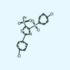 CC(C)S(=O)(=O)c1sc(-c2ccc(Cl)cc2)nc1S(=O)(=O)c1ccc(Cl)cc1